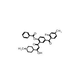 Cc1ccc(C(=O)c2ccc(OC(=O)c3ccccc3)c(C(=O)/C=C(/O)C3CCN(C)CC3)c2)c(F)c1